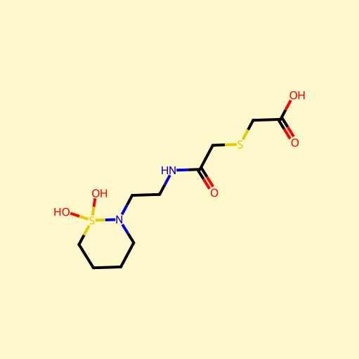 O=C(O)CSCC(=O)NCCN1CCCCS1(O)O